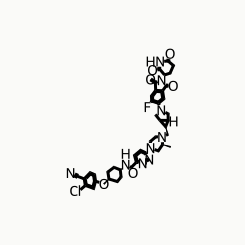 C[C@H]1CN(c2ccc(C(=O)N[C@H]3CC[C@H](Oc4ccc(C#N)c(Cl)c4)CC3)nn2)CCN1C[C@H]1C2CN(c3cc4c(cc3F)C(=O)N(C3CCC(=O)NC3=O)C4=O)C[C@@H]21